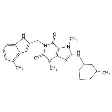 Cc1cccc2[nH]c(Cn3c(=O)c4c(nc(NC5CCCC(C)C5)n4C)n(C)c3=O)cc12